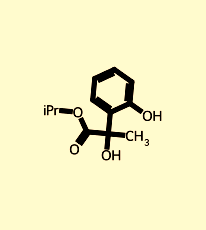 CC(C)OC(=O)C(C)(O)c1ccccc1O